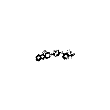 N[C@@H]1c2ccccc2CC12CCN(c1ncc(Sc3ccnc(C(F)(F)F)c3Cl)nn1)CC2